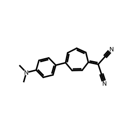 CN(C)c1ccc(C2=CC=CC(=C(C#N)C#N)C=C2)cc1